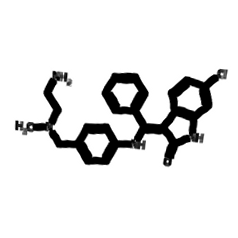 CN(CCN)Cc1ccc(N/C(=C2\C(=O)Nc3cc(Cl)ccc32)c2ccccc2)cc1